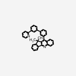 CC1(C)c2ccccc2-c2nc3ccccc3c(-c3cccc(-c4cccc(-c5ccccn5)c4)c3)c21